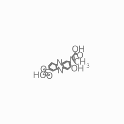 CN(CC(=O)O)c1cc2nc3ccc(S(=O)(=O)O)cc3nc2cc1O